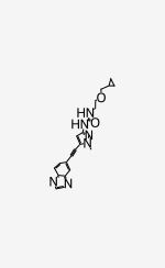 Cn1nc(NC(=O)NCCOCC2CC2)cc1C#Cc1ccc2nccnc2c1